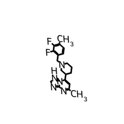 CC1=NC2=NCNN2C(C2CCCN(Cc3ccc(C)c(F)c3F)C2)=C1